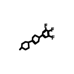 CC1CCC(C2=CCC(c3cc(F)c(F)c(F)c3)CC2)CC1